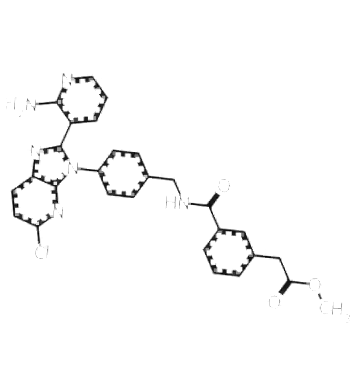 COC(=O)Cc1cccc(C(=O)NCc2ccc(-n3c(-c4cccnc4N)nc4ccc(Cl)nc43)cc2)c1